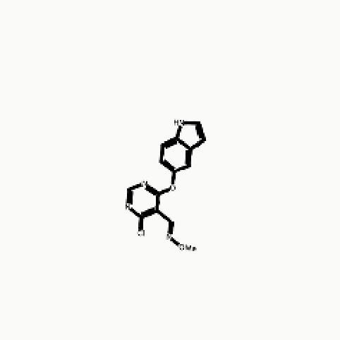 CON=Cc1c(Cl)ncnc1Oc1ccc2[nH]ccc2c1